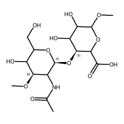 COC1OC(C(=O)O)[C@@H](O[C@@H]2OC(CO)C(O)[C@H](OC)C2NC(C)=O)C(O)C1O